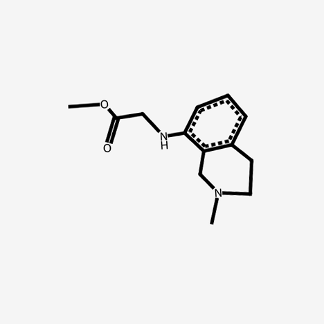 COC(=O)CNc1cccc2c1CN(C)CC2